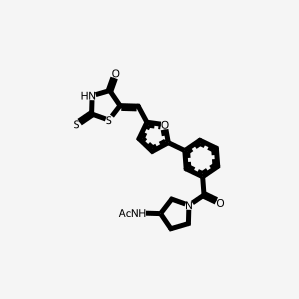 CC(=O)NC1CCN(C(=O)c2cccc(-c3ccc(/C=C4\SC(=S)NC4=O)o3)c2)C1